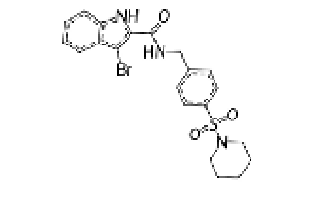 O=C(NCc1ccc(S(=O)(=O)N2CCCCC2)cc1)c1[nH]c2ccccc2c1Br